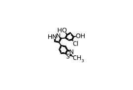 Cc1nc2cc(-c3c[nH]nc3-c3cc(Cl)c(O)cc3O)ccc2s1